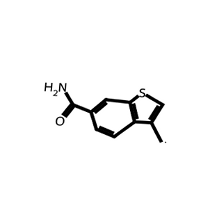 [CH2]c1csc2cc(C(N)=O)ccc12